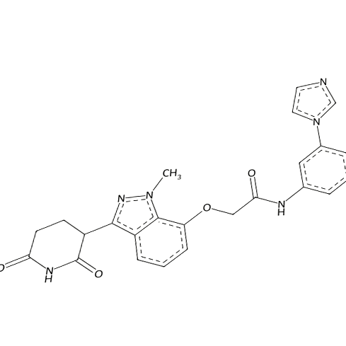 Cn1nc(C2CCC(=O)NC2=O)c2cccc(OCC(=O)Nc3cccc(-n4ccnc4)c3)c21